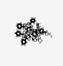 CCC[C@H](OC(=O)c1ccccc1)C(=O)N[C@@H]1C[C@H](C)C(O[C@H]2OC(CC)CCC2C)C(O)(CN=[N+]=[N-])[C@H]1O[C@H]1OC(COC(=O)c2ccccc2)[C@@H](OC(=O)c2ccccc2)[C@H](C)C1OC(=O)c1ccccc1